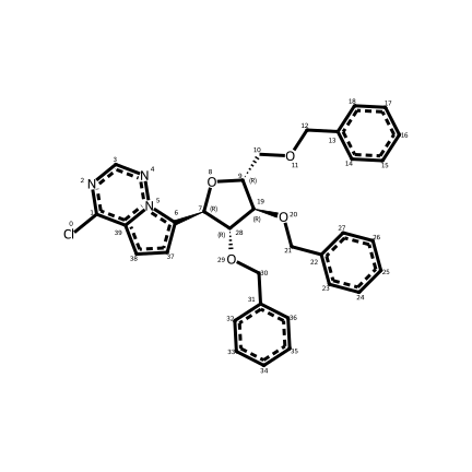 Clc1ncnn2c([C@H]3O[C@H](COCc4ccccc4)[C@@H](OCc4ccccc4)[C@@H]3OCc3ccccc3)ccc12